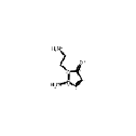 Cn1ccc(=O)n1CCN